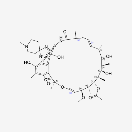 CO[C@H]1/C=C/O[C@@]2(C)Oc3c(C)c(O)c4c(O)c(c5c(c4c3C2=O)=NC2(CCN(C)CC2)N=5)NC(=O)/C(C)=C\C=C\[C@H](C)[C@H](O)[C@@H](C)[C@@H](O)[C@@H](C)[C@H](OC(C)=O)[C@@H]1C